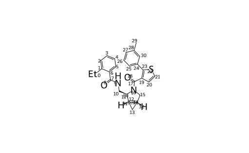 CCc1ccccc1C(=O)NC[C@@H]1[C@H]2C[C@H]2CN1C(=O)c1ccsc1-c1cccc(C)c1